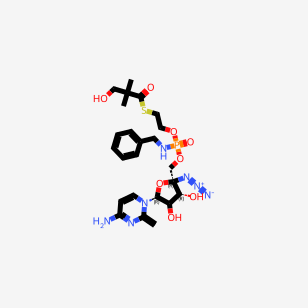 C=C1N=C(N)C=CN1[C@@H]1O[C@@](COP(=O)(NCc2ccccc2)OCCSC(=O)C(C)(C)CO)(N=[N+]=[N-])[C@H](O)C1O